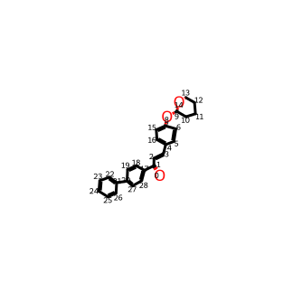 O=C(/C=C/c1ccc(OC2CCCCO2)cc1)c1ccc(-c2ccccc2)cc1